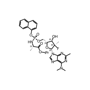 Cc1nc(N(C)C)c2ncn([C@@H]3O[C@H](COP(=O)(N[C@@H](C)C(=O)OC(C)C)Oc4cccc5ccccc45)[C@@H](O)[C@@]3(C)F)c2n1